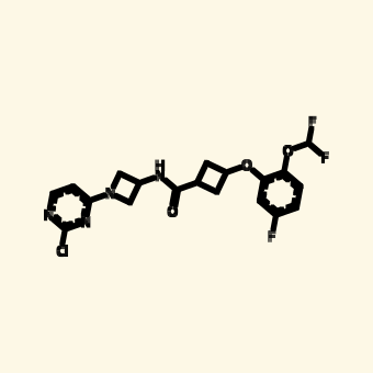 O=C(NC1CN(c2ccnc(Cl)n2)C1)C1CC(Oc2cc(F)ccc2OC(F)F)C1